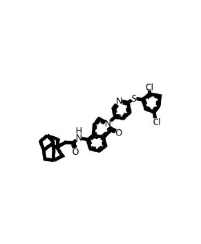 O=C(CC12CC3CC(CC(C3)C1)C2)Nc1cccc2c(=O)n(-c3ccc(Sc4cc(Cl)ccc4Cl)nc3)ccc12